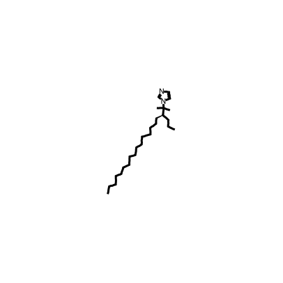 CCCCCCCCCCCCCCCC[C@H](CCC)C(C)(C)n1ccnc1